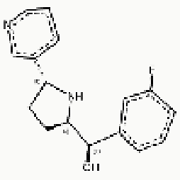 O[C@H](c1cccc(F)c1)[C@H]1CC[C@H](c2cccnc2)N1